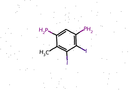 Cc1c(P)cc(P)c(I)c1I